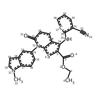 CCOC(=O)c1sc2c(ccc(=O)n2-c2ccc3c(ccn3C)c2)c1Nc1ccccc1C#N